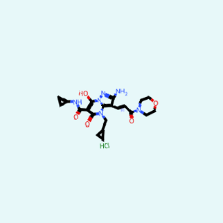 Cl.Nc1nn2c(O)c(C(=O)NC3CC3)c(=O)n(CC3CC3)c2c1/C=C/C(=O)N1CCOCC1